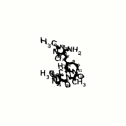 Cc1nc(N)c(CC[C@H]2CCCN(C(=O)[C@H](C)NC(=O)c3cnn(C)c3C)CC2)c(Cl)n1